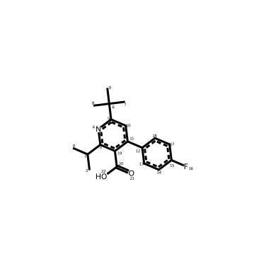 CC(C)c1nc(C(C)(C)C)cc(-c2ccc(F)cc2)c1C(=O)O